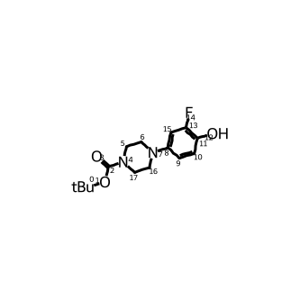 CC(C)(C)OC(=O)N1CCN(c2ccc(O)c(F)c2)CC1